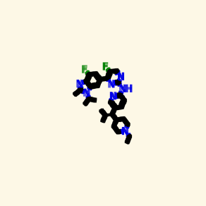 CCN1CCC([C@H](c2ccc(Nc3ncc(F)c(-c4cc(F)c5nc(C)n(C(C)C)c5c4)n3)nc2)C(C)C)CC1